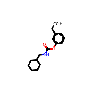 O=C(O)Cc1cccc(OC(=O)NCC2CCCCC2)c1